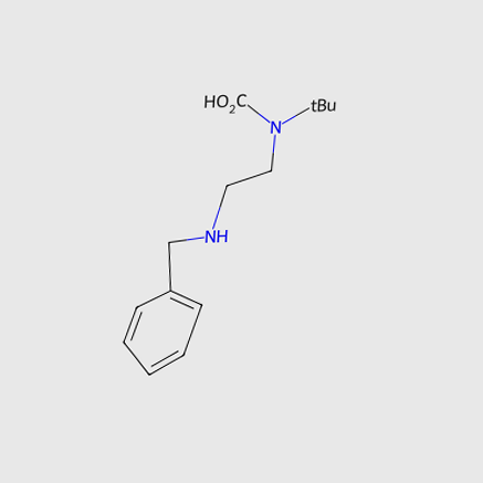 CC(C)(C)N(CCNCc1ccccc1)C(=O)O